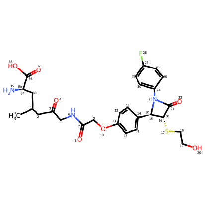 CC(CC(=O)CNC(=O)COc1ccc([C@@H]2[C@@H](SCCO)C(=O)N2c2ccc(F)cc2)cc1)C[C@@H](N)C(=O)O